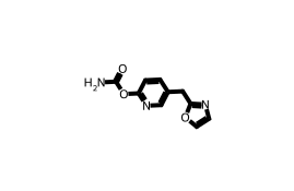 NC(=O)Oc1ccc(Cc2ncco2)cn1